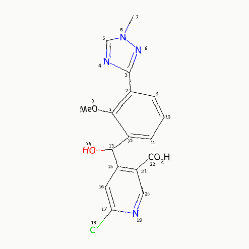 COc1c(-c2ncn(C)n2)cccc1C(O)c1cc(Cl)ncc1C(=O)O